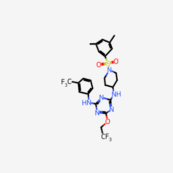 Cc1cc(C)cc(S(=O)(=O)N2CCC(Nc3nc(Nc4cccc(C(F)(F)F)c4)nc(OCC(F)(F)F)n3)CC2)c1